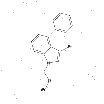 CCCOCn1cc(CC)c2c(-c3ccccc3)cccc21